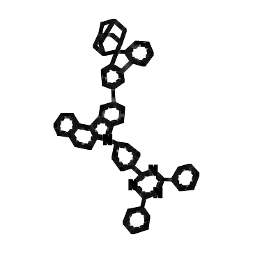 c1ccc(-c2nc(-c3ccccc3)nc(-c3ccc(-n4c5ccc(-c6ccc7c(c6)-c6ccccc6C76C7CC8CC(C7)CC6C8)cc5c5c6ccccc6ccc54)cc3)n2)cc1